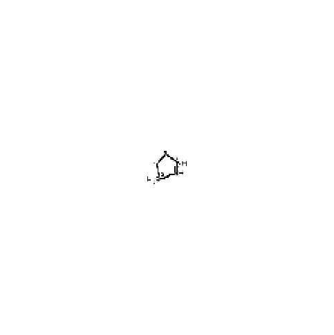 C1C[SiH2]NN1